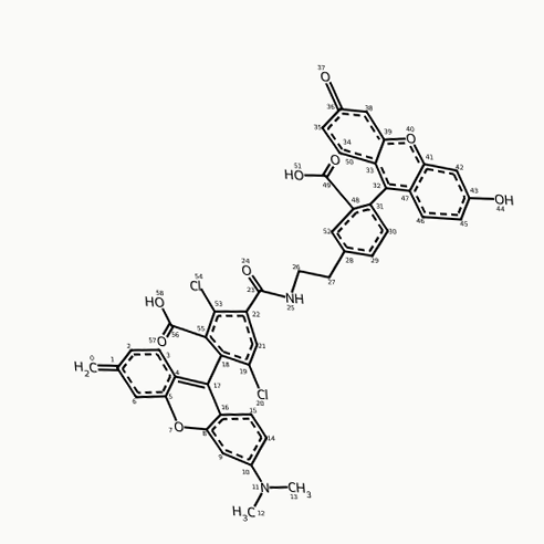 C=c1ccc2c(c1)Oc1cc(N(C)C)ccc1C=2c1c(Cl)cc(C(=O)NCCc2ccc(-c3c4ccc(=O)cc-4oc4cc(O)ccc34)c(C(=O)O)c2)c(Cl)c1C(=O)O